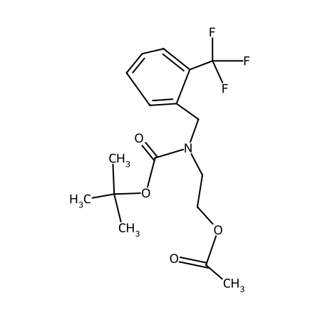 CC(=O)OCCN(Cc1ccccc1C(F)(F)F)C(=O)OC(C)(C)C